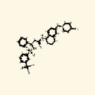 O=C(C[C@@H](NS(=O)(=O)c1cccc(C(F)(F)F)c1)c1ccccc1)N[C@@H]1CCCc2cc(CN3CCC(F)CC3)ccc21